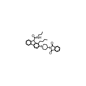 CCCCc1c(N2CCC(N3C(=O)c4ccccc4C3=O)CC2)ccc2c1C(C(=O)NCCC)c1ccccc1-2